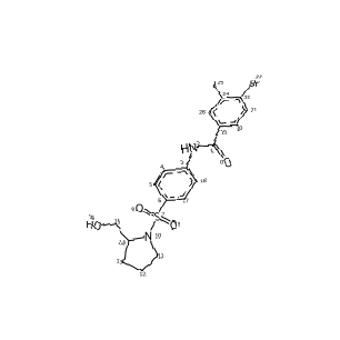 O=C(Nc1ccc(S(=O)(=O)N2CCCC2CO)cc1)c1ccc(Br)c(I)c1